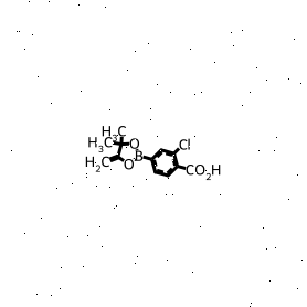 C=C1OB(c2ccc(C(=O)O)c(Cl)c2)OC1(C)C